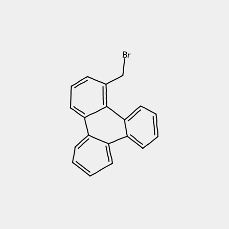 BrCc1cccc2c3ccccc3c3ccccc3c12